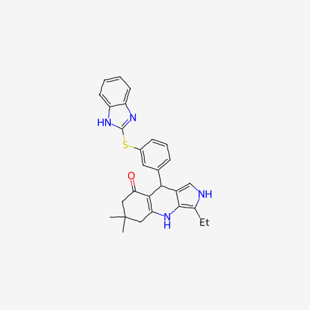 CCc1[nH]cc2c1NC1=C(C(=O)CC(C)(C)C1)C2c1cccc(Sc2nc3ccccc3[nH]2)c1